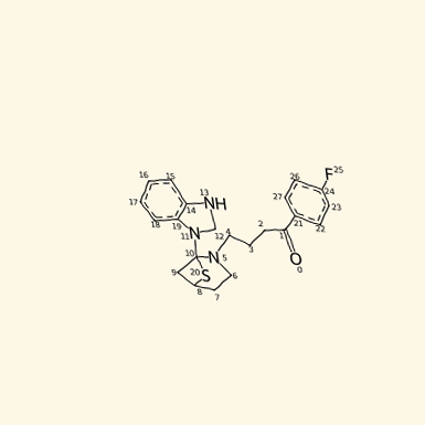 O=C(CCCN1CCC2CC1(N1CNc3ccccc31)S2)c1ccc(F)cc1